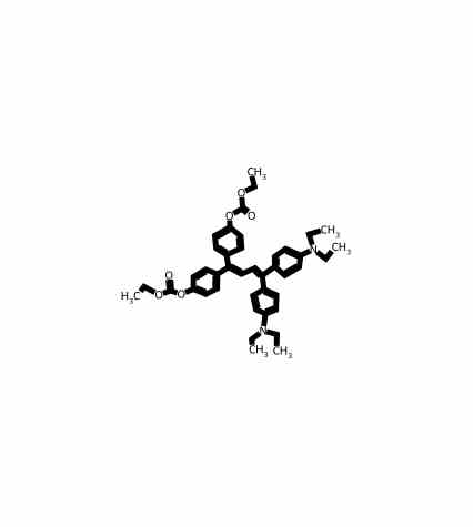 CCOC(=O)Oc1ccc(C(=CC=C(c2ccc(N(CC)CC)cc2)c2ccc(N(CC)CC)cc2)c2ccc(OC(=O)OCC)cc2)cc1